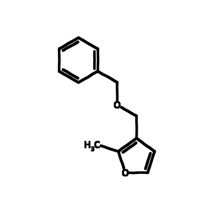 Cc1occc1COCc1ccccc1